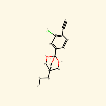 C#Cc1ccc(C23OCC(CCC)(CO2)CO3)cc1Cl